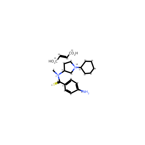 CN(C(=S)c1ccc(N)cc1)C1CCN(C2CCCCC2)C1.O=C(O)C=CC(=O)O